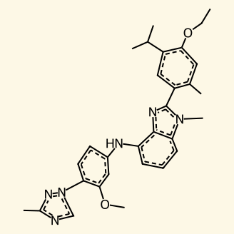 CCOc1cc(C)c(-c2nc3c(Nc4ccc(-n5cnc(C)n5)c(OC)c4)cccc3n2C)cc1C(C)C